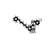 O=C(Nc1ccc(Cl)cc1Cl)c1nn(CCCCCCc2ccccc2)cc(O)c1=O